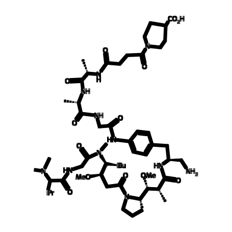 CC[C@H](C)[C@@H]([C@@H](CC(=O)N1CCC[C@H]1[C@H](OC)[C@@H](C)C(=O)N[C@H](CN)Cc1ccc(NC(=O)CNC(=O)[C@H](C)NC(=O)[C@H](C)NC(=O)CCC(=O)N2CCC(C(=O)O)CC2)cc1)OC)N(C)C(=O)CNC(=O)C(C(C)C)N(C)C